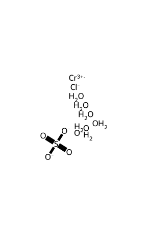 O.O.O.O.O.O.O=S(=O)([O-])[O-].[Cl-].[Cr+3]